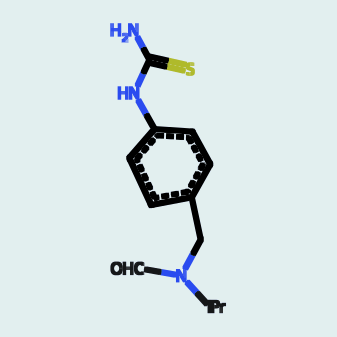 CC(C)N(C=O)Cc1ccc(NC(N)=S)cc1